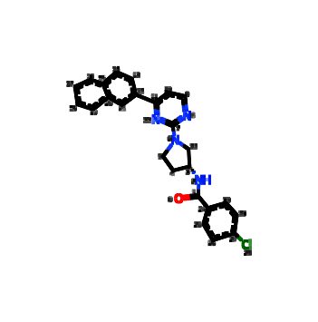 O=C(N[C@@H]1CCN(c2nccc(-c3ccc4ccccc4c3)n2)C1)c1ccc(Cl)cc1